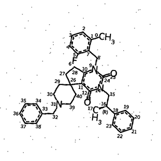 Cc1cccc(F)c1Cn1c2c(c(=O)n(C[C@H](C)c3ccccc3)c1=O)C1(CC2)CCN(Cc2ccccc2)CC1